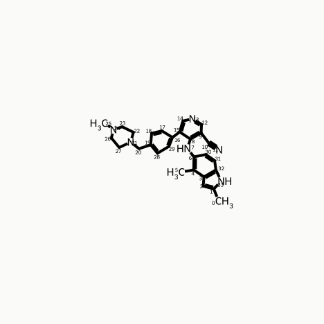 Cc1cc2c(C)c(Nc3c(C#N)cncc3-c3ccc(CN4CCN(C)CC4)cc3)ccc2[nH]1